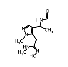 CN/C(Cc1c(C(C)NC=O)cnn1C)=N\O